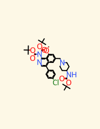 COc1cc(CN2CCC(NC(=O)OC(C)(C)C)CC2)cc2c(-c3ccc(Cl)cc3)cnc(N(C(=O)OC(C)(C)C)C(=O)OC(C)(C)C)c12